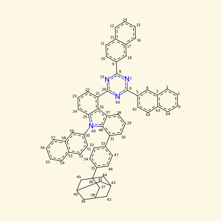 c1ccc2cc(-c3nc(-c4ccc5ccccc5c4)nc(-c4cccc5c4c4cccc(-c6ccc(C78CC9CC(CC(C9)C7)C8)cc6)c4n5-c4ccc5ccccc5c4)n3)ccc2c1